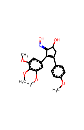 COc1ccc(C2=C(c3cc(OC)c(OC)c(OC)c3)C(=NO)C(O)C2)cc1